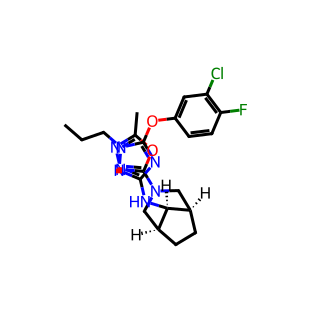 CCCn1nc(N[C@H]2[C@@H]3CC[C@H]2CN(c2nnc(C)o2)C3)nc1Oc1ccc(F)c(Cl)c1